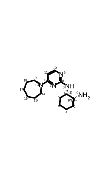 N[C@@H]1CCCC[C@@H]1Nc1nccc(N2CCCCCC2)n1